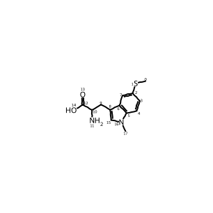 CSc1ccc2c(c1)c(CC(N)C(=O)O)cn2C